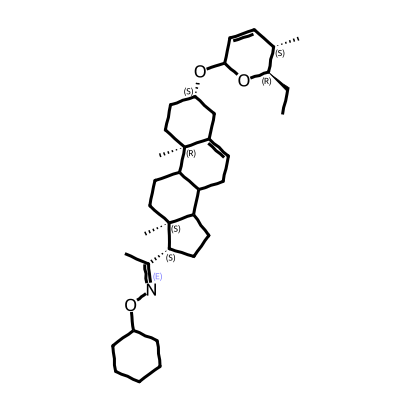 CC[C@H]1OC(O[C@H]2CC[C@@]3(C)C(=CCC4C3CC[C@@]3(C)C4CC[C@@H]3/C(C)=N/OC3CCCCC3)C2)C=C[C@@H]1C